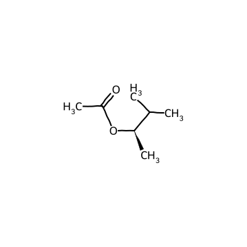 CC(=O)O[C@H](C)C(C)C